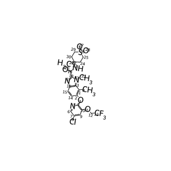 Cc1c(Oc2ncc(Cl)cc2OCC(F)(F)F)ccc2nc(C(=O)NC3(C)CCS(=O)(=O)CC3)n(C)c12